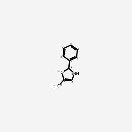 CC1=CN[C](c2ccccc2)O1